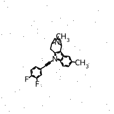 Cc1ccc2c(c1)c1c(n2C#Cc2ccc(F)c(F)c2)CC2CCC1N2C